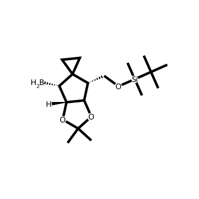 B[C@H]1[C@H]2OC(C)(C)OC2[C@@H](CO[Si](C)(C)C(C)(C)C)C12CC2